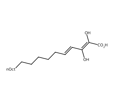 CCCCCCCCCCCCCC=CC(O)=C(O)C(=O)O